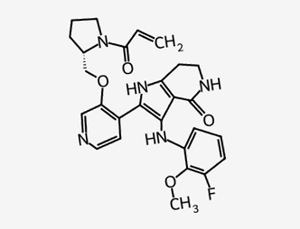 C=CC(=O)N1CCC[C@H]1COc1cnccc1-c1[nH]c2c(c1Nc1cccc(F)c1OC)C(=O)NCC2